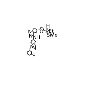 CCN[C@H](CSC)c1ccc(-c2ccc3ncnc(Nc4ccc5c(cnn5Cc5cccc(F)c5)c4)c3c2)o1